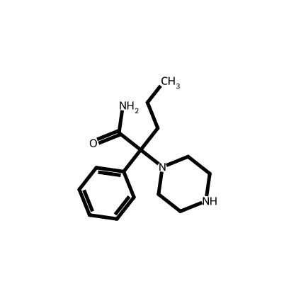 CCCC(C(N)=O)(c1ccccc1)N1CCNCC1